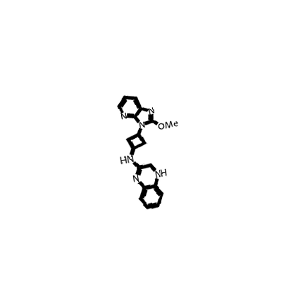 COc1nc2cccnc2n1C1CC(NC2=Nc3ccccc3NC2)C1